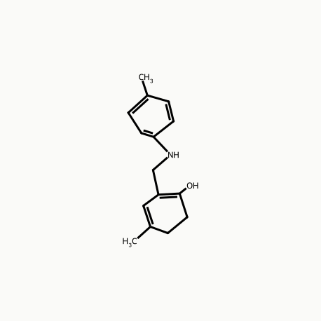 CC1=CC(CNc2ccc(C)cc2)=C(O)CC1